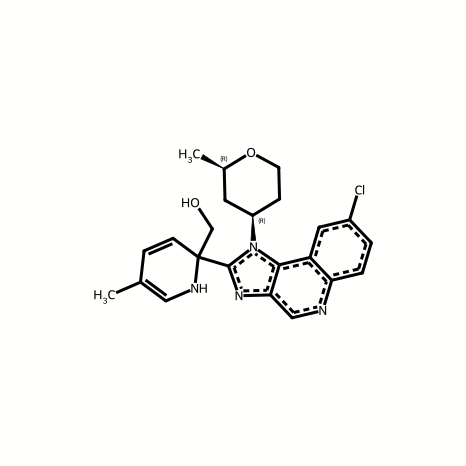 CC1=CNC(CO)(c2nc3cnc4ccc(Cl)cc4c3n2[C@@H]2CCO[C@H](C)C2)C=C1